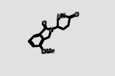 COc1cccc2c1CN(C1CCC(=O)NC1)C2=O